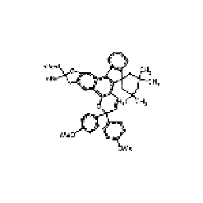 CCCCCC1(CCCC)Oc2cc3c4c(c5c(c3cc2S1)OC(c1ccc(OC)cc1)(c1ccc(OC)cc1)C=C5)C1(CC(C)(C)CC(C)(C)C1)c1ccccc1-4